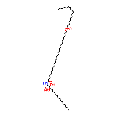 CCCCC/C=C\C/C=C\CCCCCCCC(=O)OCCCCCCCCCCCCCCCCCCCCCCCCCCC(=O)N[C@@H](CO)[C@H](O)[C@H](O)CCCCCCCCCCCCCC